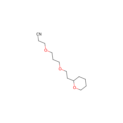 N#CCCOCCCOCCC1CCCCO1